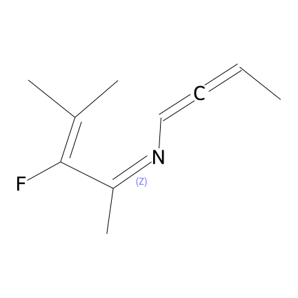 CC=C=C/N=C(/C)C(F)=C(C)C